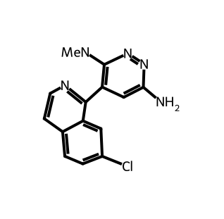 CNc1nnc(N)cc1-c1nccc2ccc(Cl)cc12